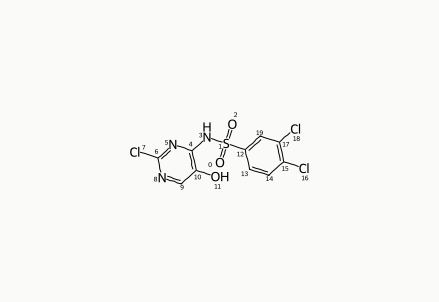 O=S(=O)(Nc1nc(Cl)ncc1O)c1ccc(Cl)c(Cl)c1